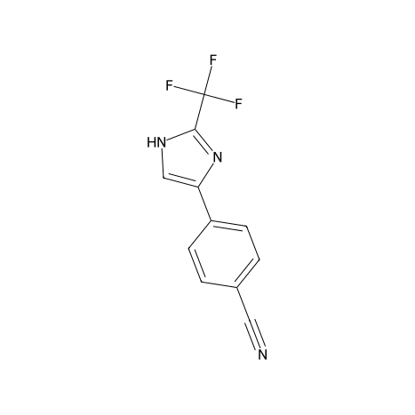 N#Cc1ccc(-c2c[nH]c(C(F)(F)F)n2)cc1